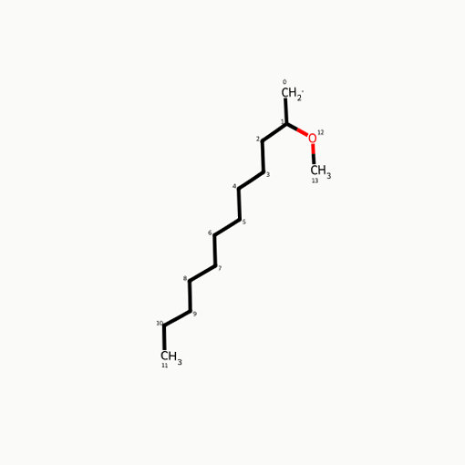 [CH2]C(CCCCCCCCCC)OC